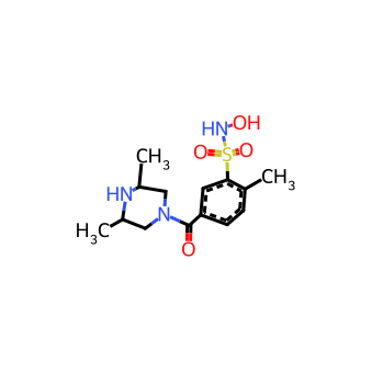 Cc1ccc(C(=O)N2CC(C)NC(C)C2)cc1S(=O)(=O)NO